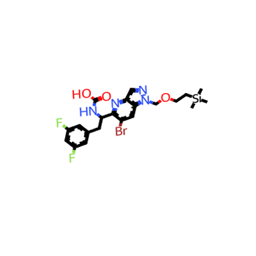 C[Si](C)(C)CCOCn1ncc2nc(C(Cc3cc(F)cc(F)c3)NC(=O)O)c(Br)cc21